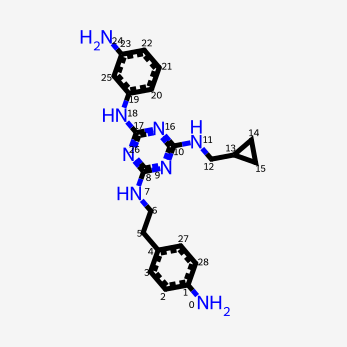 Nc1ccc(CCNc2nc(NCC3CC3)nc(Nc3cccc(N)c3)n2)cc1